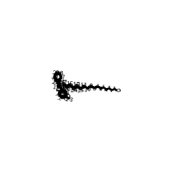 CCCCCCCCCCCCCCCCCC[Si](C)(C1=CC(C)=CC1)c1ccccc1